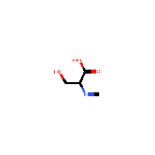 C=NC(CO)C(=O)O